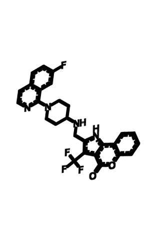 O=c1oc2ccccc2c2[nH]c(CNC3CCN(c4nccc5ccc(F)cc45)CC3)c(C(F)(F)F)c12